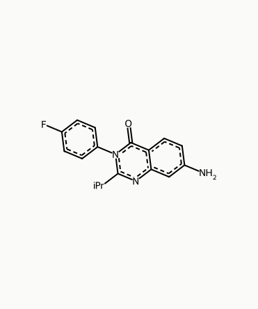 CC(C)c1nc2cc(N)ccc2c(=O)n1-c1ccc(F)cc1